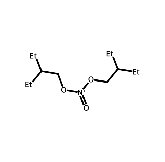 CCC(CC)CO[N+](=O)OCC(CC)CC